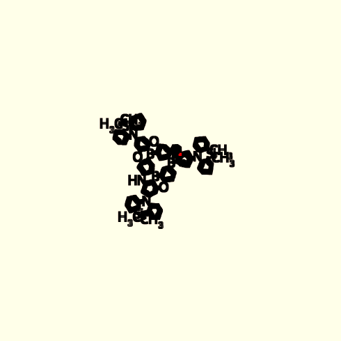 C[Si]1(C)c2ccccc2N(c2cc3c4c(c2)Oc2ccccc2B4c2cc4c(cc2N3)Oc2cc(N3c5ccccc5[Si](C)(C)c5ccccc53)cc3c2B4c2cc4c(cc2O3)Oc2cc(N3c5ccccc5[Si](C)(C)c5ccccc53)cc3c2B4c2ccccc2O3)c2ccccc21